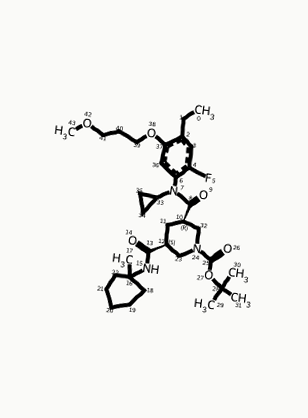 CCc1cc(F)c(N(C(=O)[C@@H]2C[C@H](C(=O)NC3(C)CCCCC3)CN(C(=O)OC(C)(C)C)C2)C2CC2)cc1OCCCOC